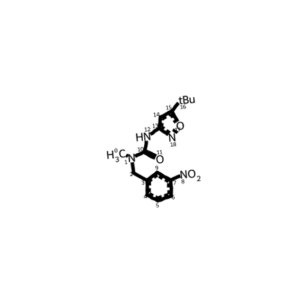 CN(Cc1cccc([N+](=O)[O-])c1)C(=O)Nc1cc(C(C)(C)C)on1